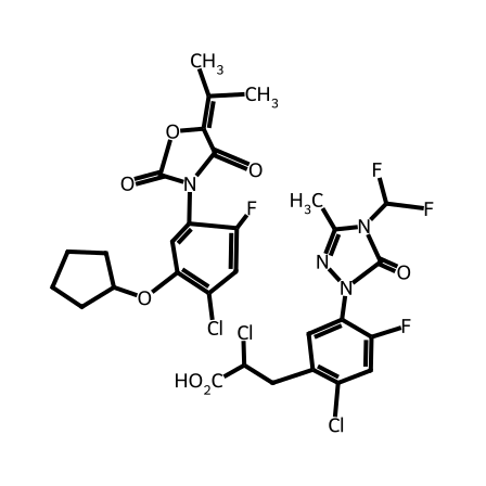 CC(C)=C1OC(=O)N(c2cc(OC3CCCC3)c(Cl)cc2F)C1=O.Cc1nn(-c2cc(CC(Cl)C(=O)O)c(Cl)cc2F)c(=O)n1C(F)F